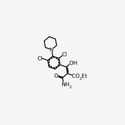 CCOC(=O)C(C(N)=O)=C(O)c1ccc(Cl)c(N2CCCCC2)c1Cl